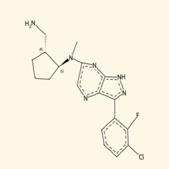 CN(c1cnc2c(-c3cccc(Cl)c3F)n[nH]c2n1)[C@H]1CCC[C@@H]1CN